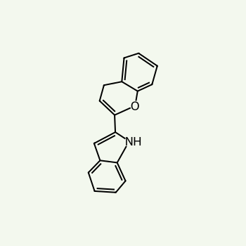 C1=C(c2cc3ccccc3[nH]2)Oc2ccccc2C1